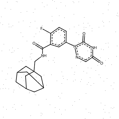 O=C(NCC12CC3CC(CC(C3)C1)C2)c1cc(-n2ncc(=O)[nH]c2=O)ccc1F